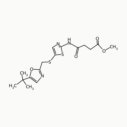 COC(=O)CCC(=O)Nc1ncc(SCc2ncc(C(C)(C)C)o2)s1